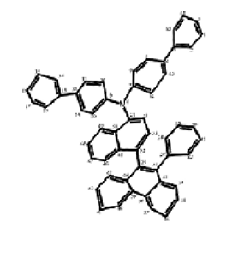 c1ccc(-c2ccc(N(c3ccc(-c4ccccc4)cc3)c3ccc(-c4c(-c5ccccc5)c5ccccc5c5ccccc45)c4ccccc34)cc2)cc1